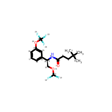 CC(C)(C)CCC(=O)N[C@@H](COC(F)F)c1cccc(OC(F)(F)F)c1